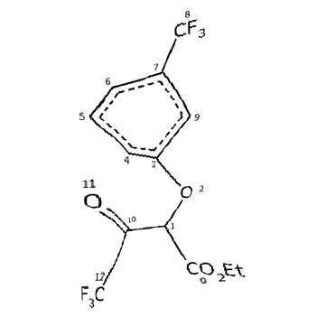 CCOC(=O)C(Oc1cccc(C(F)(F)F)c1)C(=O)C(F)(F)F